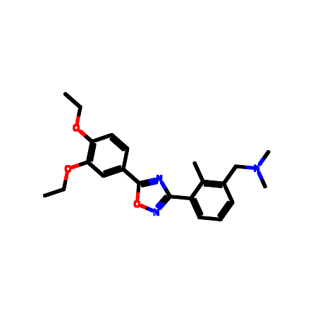 CCOc1ccc(-c2nc(-c3cccc(CN(C)C)c3C)no2)cc1OCC